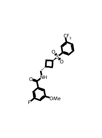 COc1cc(F)cc(C(=O)NC[C@H]2C[C@H](S(=O)(=O)c3cccc(C(F)(F)F)c3)C2)c1